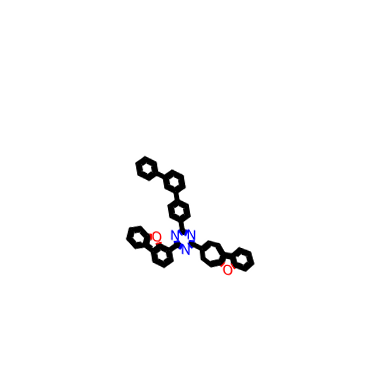 C1=C(c2nc(-c3ccc(-c4cccc(-c5ccccc5)c4)cc3)nc(-c3cccc4c3oc3ccccc34)n2)CC=c2oc3ccccc3c2=C1